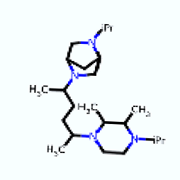 CC(C)N1CC2CC1CN2C(C)CCC(C)N1CCN(C(C)C)C(C)C1C